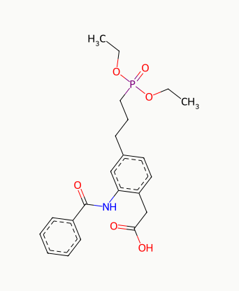 CCOP(=O)(CCCc1ccc(CC(=O)O)c(NC(=O)c2ccccc2)c1)OCC